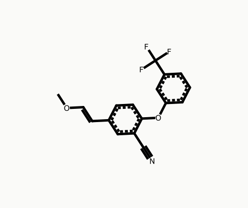 COC=Cc1ccc(Oc2cccc(C(F)(F)F)c2)c(C#N)c1